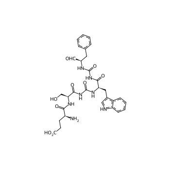 N[C@@H](CCC(=O)O)C(=O)N[C@@H](CO)C(=O)NC(=O)N[C@H](Cc1c[nH]c2ccccc12)C(=O)NC(=O)N[C@@H](C=O)Cc1ccccc1